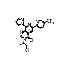 CC(CO)n1cnc2c(-n3cccn3)nc(-c3ccc(C(F)(F)F)cn3)cc2c1=O